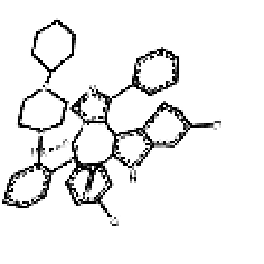 C[C@@H](c1ccc(Cl)cc1)n1cnc(-c2ccccc2)c1-c1c(C(=O)Nc2ccccc2N2CCN(C3CCCCC3)CC2)[nH]c2cc(Cl)ccc12